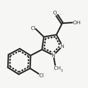 Cn1nc(C(=O)O)c(Cl)c1-c1ccccc1Cl